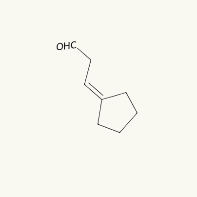 O=CCC=C1CCCC1